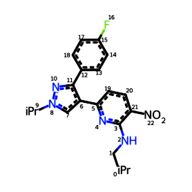 CC(C)CNc1nc(-c2cn(C(C)C)nc2-c2ccc(F)cc2)ccc1[N+](=O)[O-]